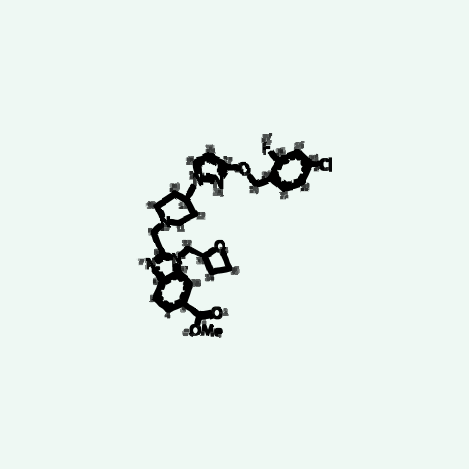 COC(=O)c1ccc2nc(CN3CCC(n4ccc(OCc5ccc(Cl)cc5F)n4)CC3)n(C[C@@H]3CCO3)c2c1